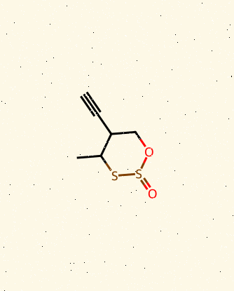 C#CC1COS(=O)SC1C